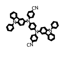 [C-]#[N+]c1ccc(N(c2ccc(N(c3ccc(C#N)cc3)c3ccc4c(c3)c3ccccc3n4-c3ccccc3)cc2)c2ccc3c(c2)c2ccccc2n3-c2ccccc2)cc1